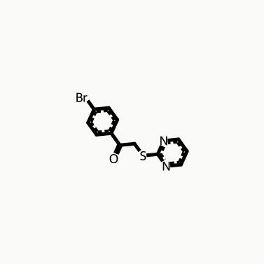 O=C(CSc1ncccn1)c1ccc(Br)cc1